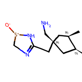 C[C@@H]1C[C@@](CN)(CC2=NC[S+]([O-])N2)C[C@@H]1C